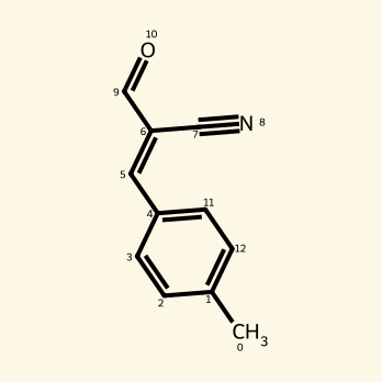 Cc1ccc(/C=C(\C#N)C=O)cc1